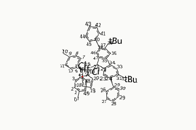 Cc1ccc([C](c2ccc(C)cc2)=[Hf]([Cl])([Cl])([CH]2C=CC=C2)[CH]2c3cc(-c4ccccc4)c(C(C)(C)C)cc3-c3cc(C(C)(C)C)c(-c4ccccc4)cc32)cc1